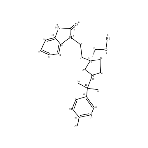 CCOC[C@]1(CCn2c(=O)[nH]c3ccccc32)CCN(C(C)(C)c2ccc(C)nc2)C1